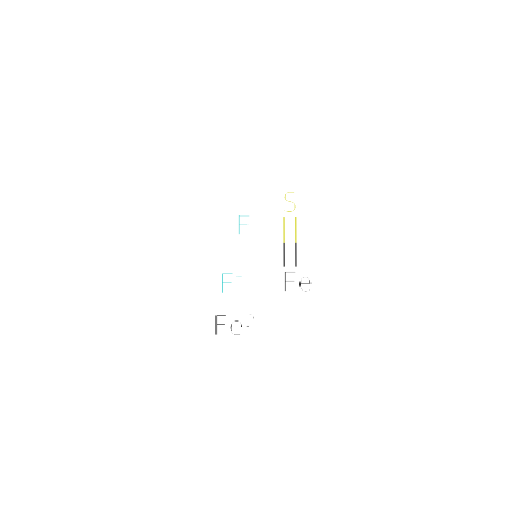 [F-].[F-].[Fe+2].[S]=[Fe]